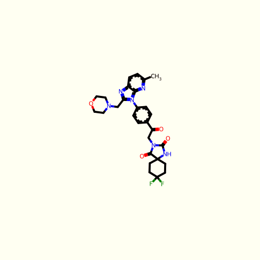 Cc1ccc2nc(CN3CCOCC3)n(-c3ccc(C(=O)CN4C(=O)NC5(CCC(F)(F)CC5)C4=O)cc3)c2n1